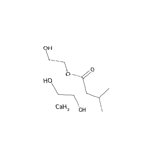 CC(C)CC(=O)OCCO.OCCO.[CaH2]